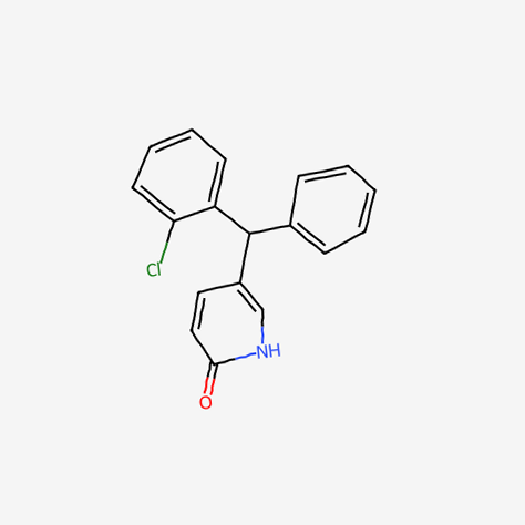 O=c1ccc(C(c2ccccc2)c2ccccc2Cl)c[nH]1